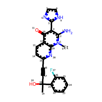 CCn1c(N)c(-c2ncc[nH]2)c(=O)c2ccc(C#CC(C)(O)c3ccccc3F)nc21